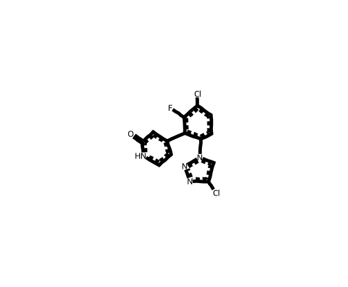 O=c1cc(-c2c(-n3cc(Cl)nn3)ccc(Cl)c2F)cc[nH]1